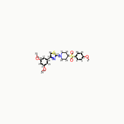 COc1ccc(S(=O)(=O)C2CCN(c3nc(-c4cc(OC)cc(OC)c4)cs3)CC2)cc1